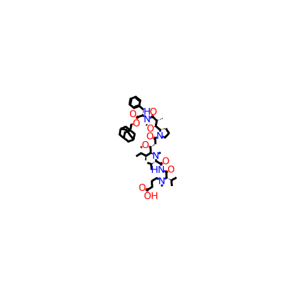 CC[C@H](C)[C@@H]([C@@H](CC(=O)N1CCC[C@H]1[C@H](OC)[C@@H](C)C(=O)N[C@@H](Cc1ccccc1)C(=O)OCC12CC3CC(CC(C3)C1)C2)OC)N(C)[C@H](C(=O)NC(=O)[C@H](C(C)C)N(C)CCCC(=O)O)C(C)C